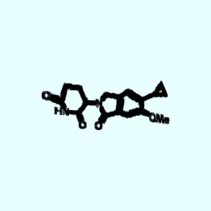 COc1cc2c(cc1C1CC1)CN(C1CCC(=O)NC1=O)C2=O